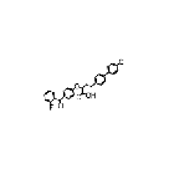 O=C(c1ccc(OC(CCc2ccc(-c3ccc(Cl)cc3)cc2)C(=O)O)cc1)c1ccccc1F